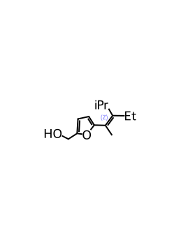 CC/C(=C(\C)c1ccc(CO)o1)C(C)C